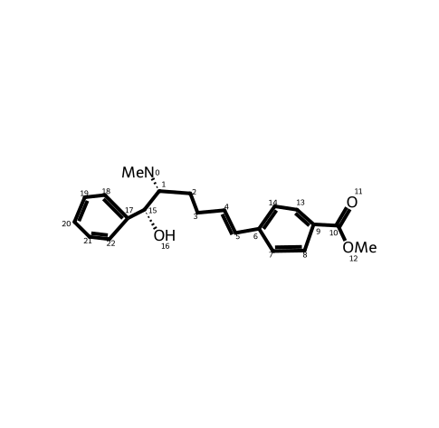 CN[C@H](CCC=Cc1ccc(C(=O)OC)cc1)[C@H](O)c1ccccc1